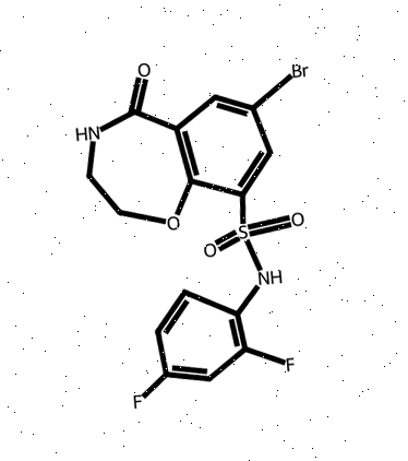 O=C1NCCOc2c1cc(Br)cc2S(=O)(=O)Nc1ccc(F)cc1F